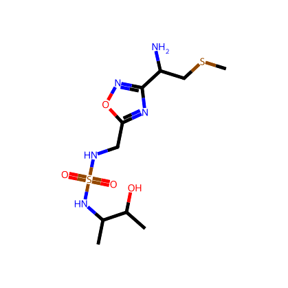 CSCC(N)c1noc(CNS(=O)(=O)NC(C)C(C)O)n1